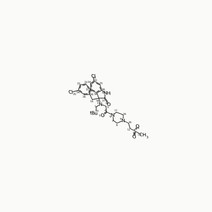 CC(C)(C)CN(CC(=O)N1CCN(CCS(C)(=O)=O)CC1)C1(Cc2cccc(Cl)c2)C(=O)Nc2cc(Cl)ccc21